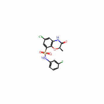 CC1Oc2c(cc(Cl)cc2S(=O)(=O)Nc2cccc(F)c2)NC1=O